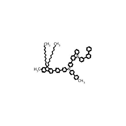 CCCCCCCCCCCCC1(CCCCCCCCCCCC)c2cc(C)ccc2-c2ccc(-c3ccc(-c4ccc(N(c5ccc(-c6ccc(C)cc6)cc5)c5ccc(-c6ccc7c8ccccc8n(-c8cccc(-c9cccc(-c%10ccccc%10)c9)c8)c7c6)cc5)cc4)cc3)cc21